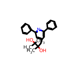 CC(C)(O)C(C)(O)Cc1cc(-c2ccccc2)nc(-c2ccccc2)c1